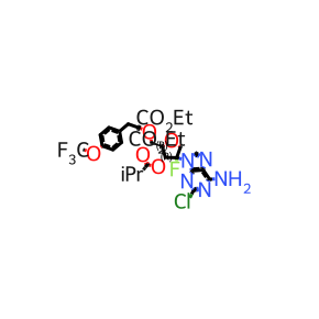 CCOC(=O)C(Cc1ccc(OC(F)(F)F)cc1)(OC[C@H]1OCC(F)(n2cnc3c(N)nc(Cl)nc32)[C@@H]1OC(=O)C(C)C)C(=O)OCC